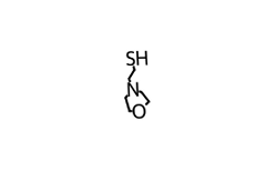 SCCN1CCOCC1